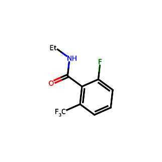 CCNC(=O)c1c(F)cccc1C(F)(F)F